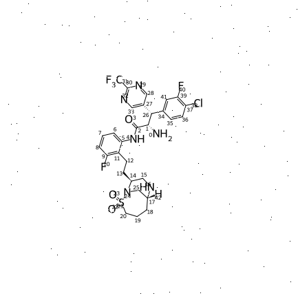 N[C@H](C(=O)Nc1cccc(F)c1CC[C@H]1CN[C@@H]2CCCS(=O)(=O)N1C2)[C@H](c1cnc(C(F)(F)F)nc1)c1ccc(Cl)c(F)c1